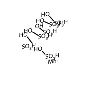 O=S(=O)(O)O.O=S(=O)(O)O.O=S(=O)(O)O.O=S(=O)(O)O.O=S(=O)(O)O.O=S(=O)(O)O.[Mn]